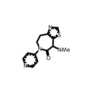 CNC1C(=O)N(c2ccncc2)CCc2ncsc21